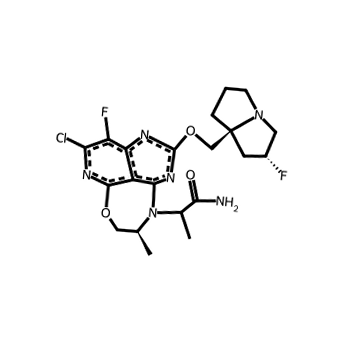 CC(C(N)=O)N1c2nc(OC[C@@]34CCCN3C[C@H](F)C4)nc3c(F)c(Cl)nc(c23)OC[C@@H]1C